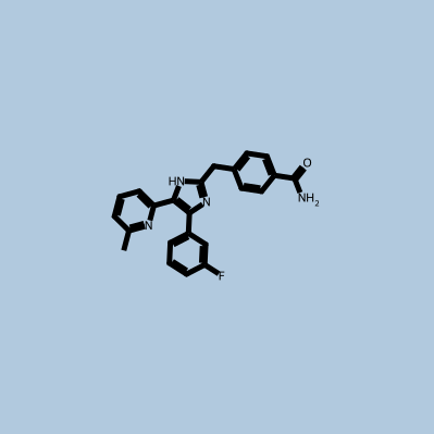 Cc1cccc(-c2[nH]c(Cc3ccc(C(N)=O)cc3)nc2-c2cccc(F)c2)n1